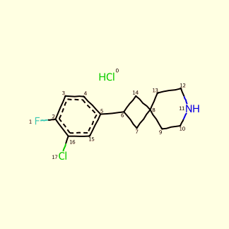 Cl.Fc1ccc(C2CC3(CCNCC3)C2)cc1Cl